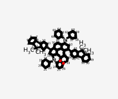 CC1(C)c2ccccc2-c2ccc(-c3cc(N(c4ccccc4)c4ccccc4)c4c5ccccc5c5c(-c6ccc7c(c6)C(C)(C)c6ccccc6-7)cc(N(c6ccccc6)c6ccccc6)c6ccc3c4c65)cc21